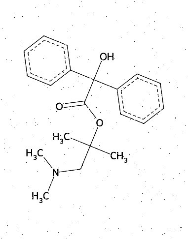 CN(C)CC(C)(C)OC(=O)C(O)(c1ccccc1)c1ccccc1